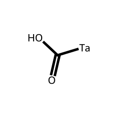 O=[C](O)[Ta]